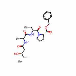 CC[C@H](C)[C@@H](C)[C@@H](O)CC(=O)N[C@H](C(=O)N[C@@H](CC(C)C)C(=O)N1CCC[C@H]1C(=O)OCc1ccccc1)C(C)C